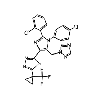 FC(F)(F)C1(c2nnc(-c3nc(-c4ccccc4Cl)n(-c4ccc(Cl)cc4)c3Cn3cncn3)s2)CC1